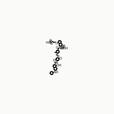 COc1cc(N=Nc2ccc3cc(Nc4ccccc4)ccc3c2O)c(OC)cc1N=Nc1ccc(C(=O)Nc2cc3c(OCCCS(=O)(=O)O)cccc3cc2S(=O)(=O)O)cc1C